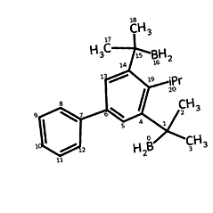 BC(C)(C)c1cc(-c2ccccc2)cc(C(B)(C)C)c1C(C)C